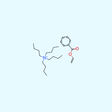 C=COC(=O)c1ccccc1.CCCC[N+](CCCC)(CCCC)CCCC